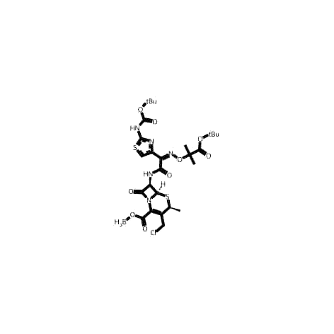 BOC(=O)C1=C(CCl)[C@H](C)S[C@@H]2[C@H](NC(=O)/C(=N\OC(C)(C)C(=O)OC(C)(C)C)c3csc(NC(=O)OC(C)(C)C)n3)C(=O)N12